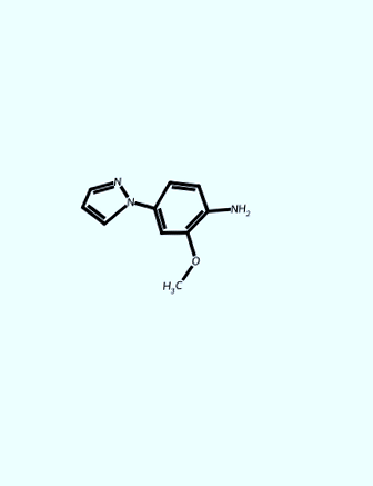 COc1cc(-n2cccn2)ccc1N